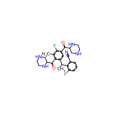 Cc1c(F)c(C(=O)C2CNCCN2)cc(C(C)c2c(F)cccc2C#N)c1C(=O)C1CNCCN1